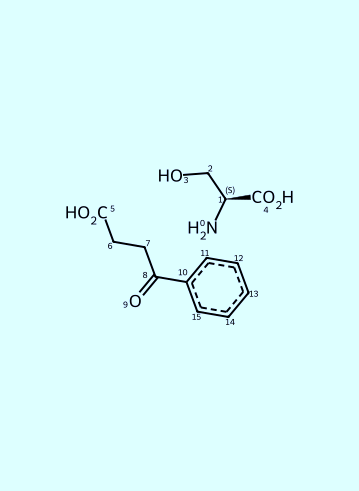 N[C@@H](CO)C(=O)O.O=C(O)CCC(=O)c1ccccc1